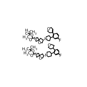 CC(C)(C)OC(=O)N1CC2(C[C@H](N3CCC(c4cc(F)ccc4C4=CCOCC4)CC3)CO2)C1.CC(C)(C)OC(=O)N1CC2(C[C@H](N3CCC(c4cc(F)ccc4C4CCOCC4)CC3)CO2)C1